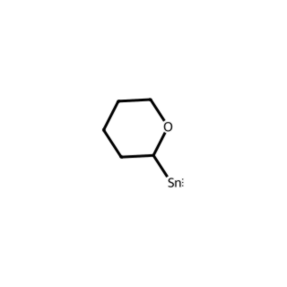 [Sn][CH]1CCCCO1